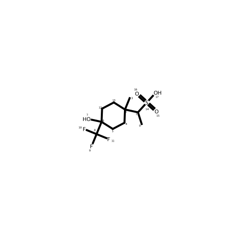 CC(C1(C)CCC(O)(C(F)(F)F)CC1)S(=O)(=O)O